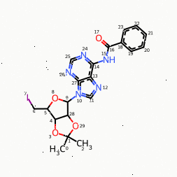 CC1(C)OC2C(CI)OC(n3cnc4c(NC(=O)c5ccccc5)ncnc43)C2O1